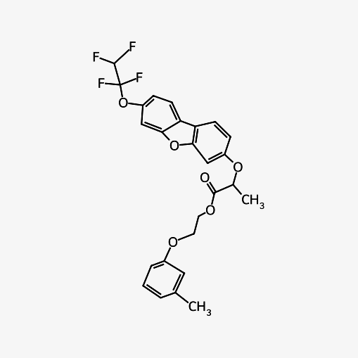 Cc1cccc(OCCOC(=O)C(C)Oc2ccc3c(c2)oc2cc(OC(F)(F)C(F)F)ccc23)c1